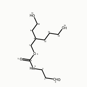 O=CCCNC(=O)OCC(CCO)CCCO